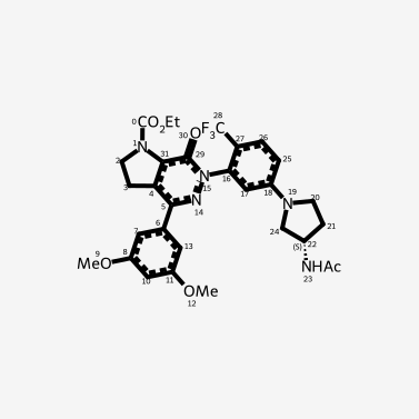 CCOC(=O)N1CCc2c(-c3cc(OC)cc(OC)c3)nn(-c3cc(N4CC[C@H](NC(C)=O)C4)ccc3C(F)(F)F)c(=O)c21